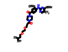 CCCC(CC)CCOCCOCCC(=O)N1CCN(C(=O)c2ccc(Nc3ncc(C(F)(F)F)c(NC)n3)c(OC)c2)CC1